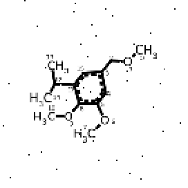 COCc1cc(OC)c(OC)c(C(C)C)c1